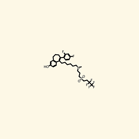 CN(CCCCCCC1=C(c2ccc(F)cc2F)CCCc2cc(O)ccc21)CCCS(=O)(=O)CCC(F)(F)C(F)(F)F